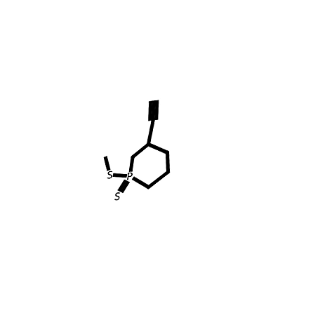 C#CC1CCCP(=S)(SC)C1